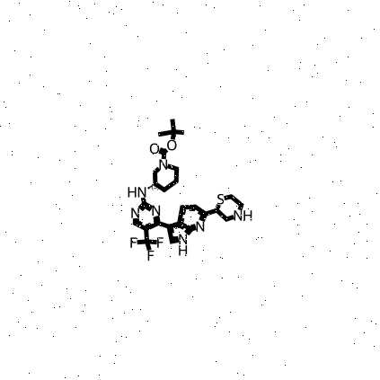 CC(C)(C)OC(=O)N1CCC[C@H](Nc2ncc(C(F)(F)F)c(-c3c[nH]c4nc(C5CNCCS5)ccc34)n2)C1